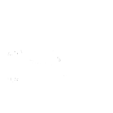 CC(=O)Nc1cc(S(=O)(=O)c2ccc(C)c(C)c2)ccc1N